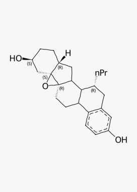 CCC[C@@H]1Cc2cc(O)ccc2C2CC[C@]34O[C@]35C[C@@H](O)CC[C@@H]5CC4C21